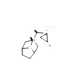 CC(C)(C)OC(=O)N1CC2CCC(C1)N2C(=O)[C@@H]1C[C@H]1F